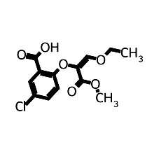 CCO/C=C(/Oc1ccc(Cl)cc1C(=O)O)C(=O)OC